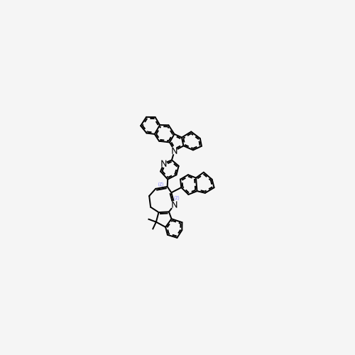 CC1(C)C2=C(/N=C(c3ccc4ccccc4c3)\C(c3ccc(-n4c5ccccc5c5cc6ccccc6cc54)nc3)=C/CC2)c2ccccc21